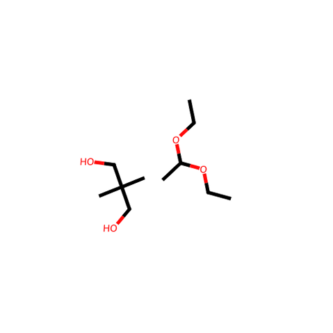 CC(C)(CO)CO.CCOC(C)OCC